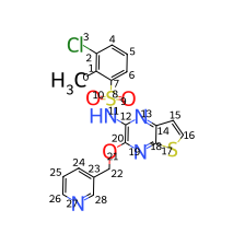 Cc1c(Cl)cccc1S(=O)(=O)Nc1nc2ccsc2nc1OCc1cccnc1